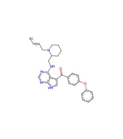 CC(=O)/C=C/CN1CCCCC1CNc1ncnc2[nH]cc(C(=O)c3ccc(Oc4ccccc4)cc3)c12